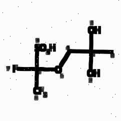 CC(O)(O)COC(F)(C(F)(F)F)S(=O)(=O)O